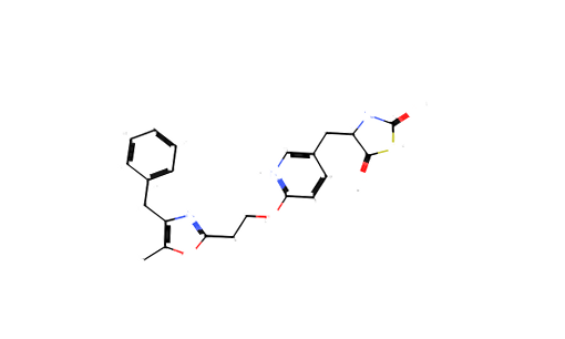 Cc1oc(CCOc2ccc(CC3NC(=O)SC3=O)cn2)nc1Cc1ccccc1